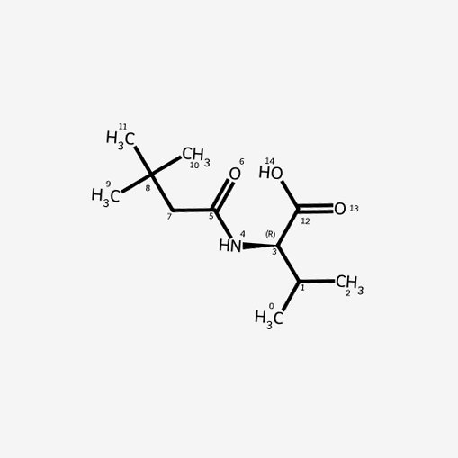 CC(C)[C@@H](NC(=O)CC(C)(C)C)C(=O)O